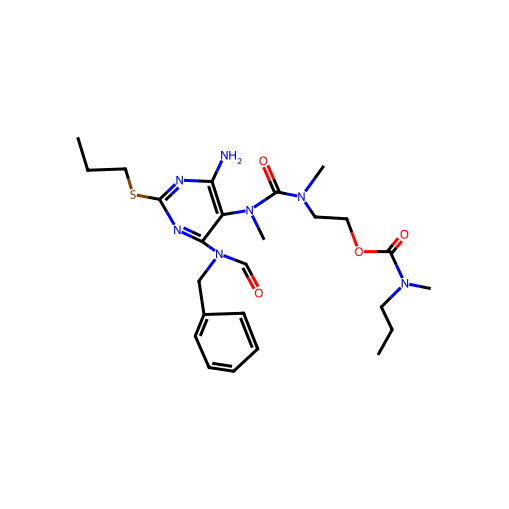 CCCSc1nc(N)c(N(C)C(=O)N(C)CCOC(=O)N(C)CCC)c(N(C=O)Cc2ccccc2)n1